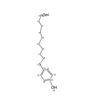 CCCCCCCCCCCCCCCCCCSc1ccc(O)cc1